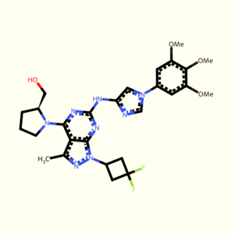 COc1cc(-n2cnc(Nc3nc(N4CCC[C@H]4CO)c4c(C)nn(C5CC(F)(F)C5)c4n3)c2)cc(OC)c1OC